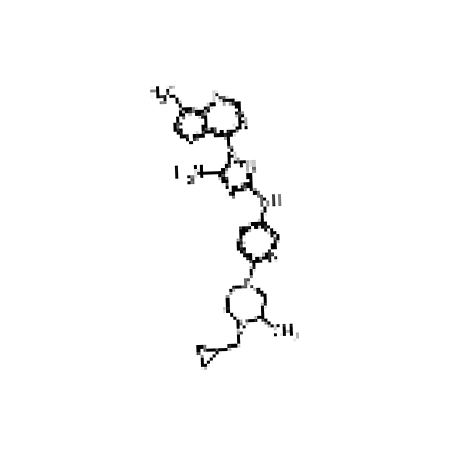 Cc1csc2c(-n3nc(Nc4ccc(N5CCN(CC6CC6)C(C)C5)nc4)nc3N)ncnc12